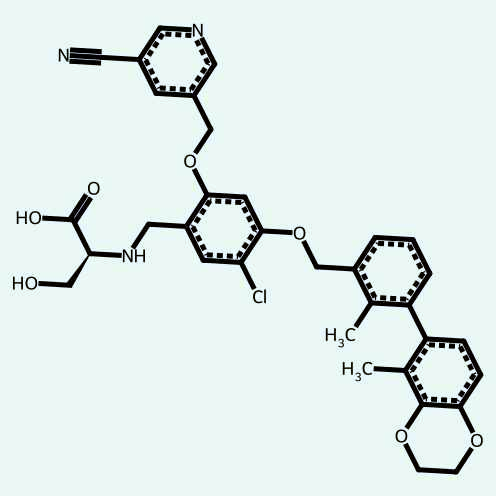 Cc1c(COc2cc(OCc3cncc(C#N)c3)c(CN[C@@H](CO)C(=O)O)cc2Cl)cccc1-c1ccc2c(c1C)OCCO2